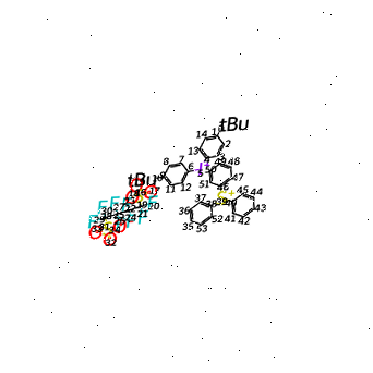 CC(C)(C)c1ccc([I+]c2ccc(C(C)(C)C)cc2)cc1.O=S(=O)([O-])C(F)(F)C(F)(F)C(F)(F)C(F)(F)S(=O)(=O)[O-].c1ccc([S+](c2ccccc2)c2ccccc2)cc1